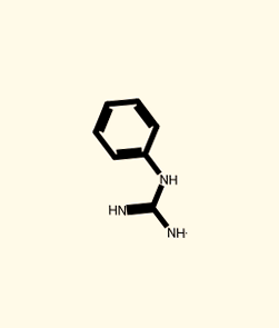 [NH]C(=N)Nc1ccccc1